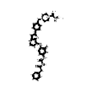 CNC(=O)N1CCN(Cc2ccc(-c3cc4nccc(Oc5ccc(NC(=S)NC(=O)Cc6ccccc6)cc5F)c4s3)cc2)CC1